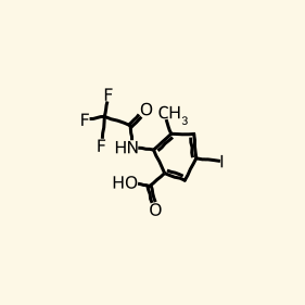 Cc1cc(I)cc(C(=O)O)c1NC(=O)C(F)(F)F